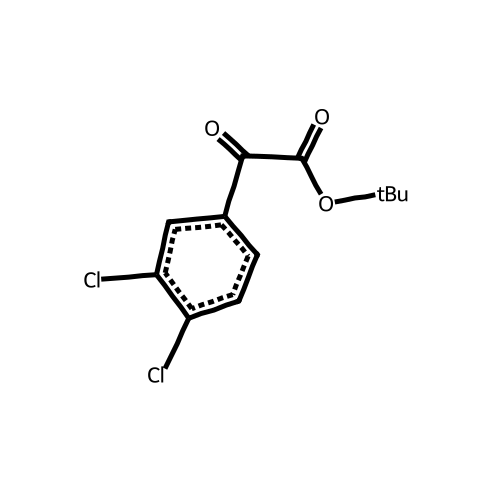 CC(C)(C)OC(=O)C(=O)c1ccc(Cl)c(Cl)c1